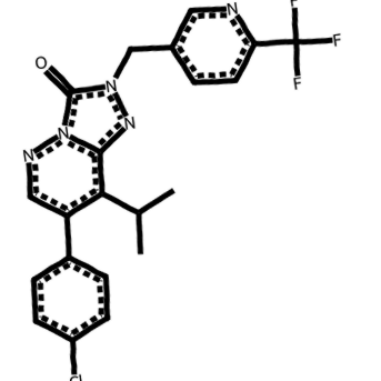 CC(C)c1c(-c2ccc(Cl)cc2)cnn2c(=O)n(Cc3ccc(C(F)(F)F)nc3)nc12